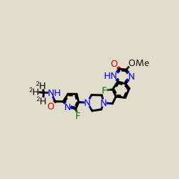 [2H]C([2H])([2H])NC(=O)c1ccc(N2CCN(Cc3ccc4nc(OC)c(=O)[nH]c4c3F)CC2)c(F)n1